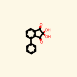 O=C1c2cccc(-c3ccccc3)c2C(=O)C1(O)O